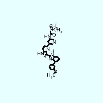 COc1cccc(-c2cccc3[nH]c(-c4n[nH]c5ccc(-c6cncc(NC(=O)CN(C)C)c6)nc45)nc23)c1